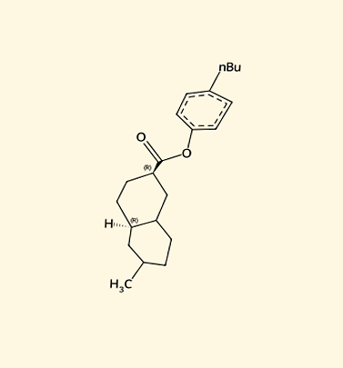 CCCCc1ccc(OC(=O)[C@@H]2CC[C@@H]3CC(C)CCC3C2)cc1